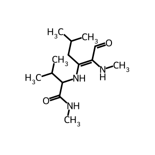 CNC(=O)C(NC(CC(C)C)=C(C=O)NC)C(C)C